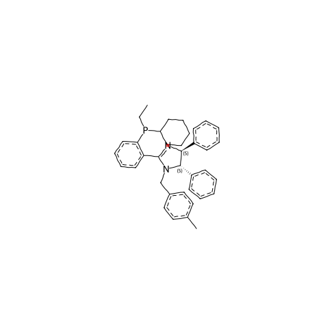 CCP(c1ccccc1C1=N[C@@H](c2ccccc2)[C@H](c2ccccc2)N1Cc1ccc(C)cc1)C1CCCCC1